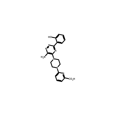 Nc1nnc(-c2ccccc2O)nc1N1CCN(c2cccc(C(=O)O)n2)CC1